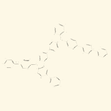 c1ccc(-c2ccc(-c3ccc(N(c4ccccc4)c4ccc(-c5ccc6c(c5)c5cc(-c7ccccc7)ccc5n6-c5ccc(-c6ccccc6)cc5)cc4)cc3)cc2)cc1